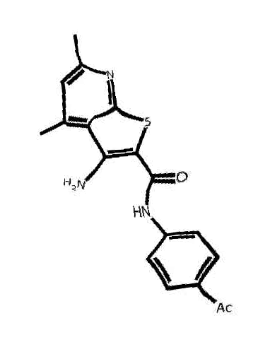 CC(=O)c1ccc(NC(=O)c2sc3nc(C)cc(C)c3c2N)cc1